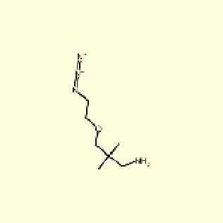 CC(C)(CN)COCCN=[N+]=[N-]